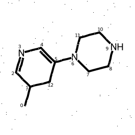 CC1C=NC=C(N2CCNCC2)C1